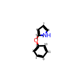 c1ccc(Oc2ccc[nH]2)cc1